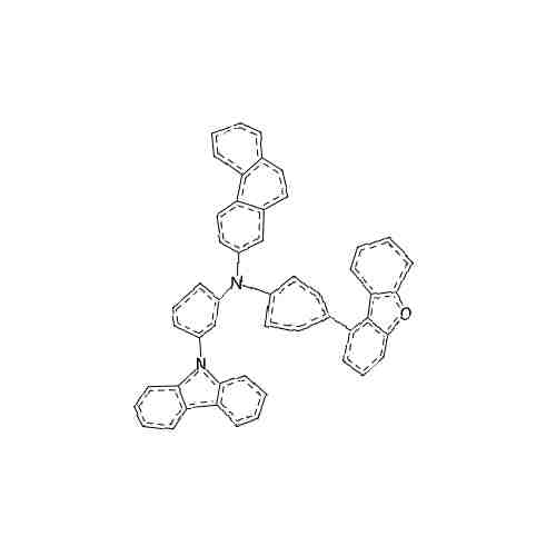 c1cc(N(c2ccc(-c3cccc4oc5ccccc5c34)cc2)c2ccc3c(ccc4ccccc43)c2)cc(-n2c3ccccc3c3ccccc32)c1